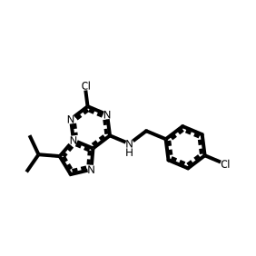 CC(C)c1cnc2c(NCc3ccc(Cl)cc3)nc(Cl)nn12